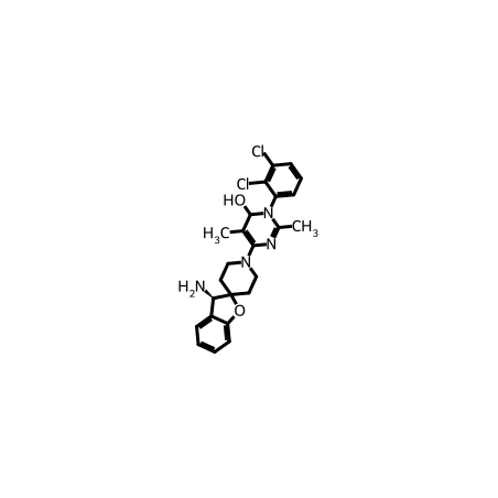 CC1=NC(N2CCC3(CC2)Oc2ccccc2[C@H]3N)=C(C)C(O)N1c1cccc(Cl)c1Cl